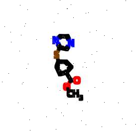 COC(=O)c1ccc(Sc2cnccn2)cc1